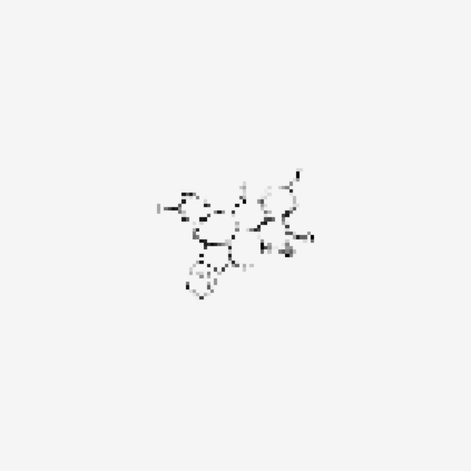 O=C1C2C3C=CC(O3)C2C(=O)N1C1c2n[nH]c(=O)c3cc(F)cc(c23)NC1c1ccc(F)cc1